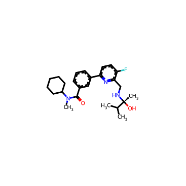 CC(C)[C@@](C)(O)NCc1nc(-c2cccc(C(=O)N(C)C3CCCCC3)c2)ccc1F